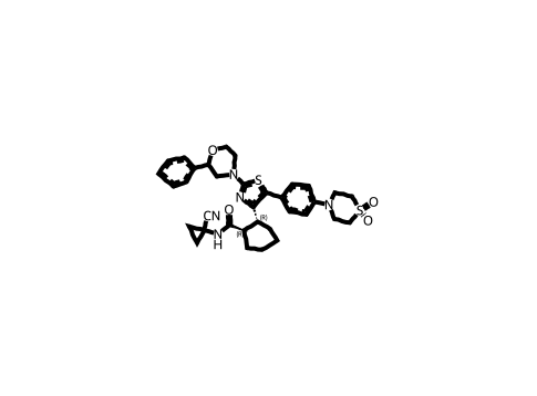 N#CC1(NC(=O)[C@@H]2CCCC[C@H]2c2nc(N3CCOC(c4ccccc4)C3)sc2-c2ccc(N3CCS(=O)(=O)CC3)cc2)CC1